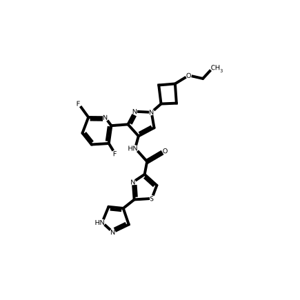 CCOC1CC(n2cc(NC(=O)c3csc(-c4cn[nH]c4)n3)c(-c3nc(F)ccc3F)n2)C1